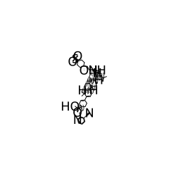 C=C(C)[C@@H]1CC[C@]2(NCC[C@]3(O)CC[C@@H](S(C)(=O)=O)CC3)CC[C@]3(C)[C@H](CC[C@@H]4[C@@]5(C)CC=C(C6=CC[C@@](CCc7ncccc7C#N)(C(=O)O)CC6)C(C)(C)[C@@H]5CC[C@]43C)[C@@H]12